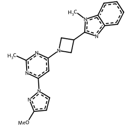 COc1ccn(-c2cc(N3CC(c4nc5ccccc5n4C)C3)nc(C)n2)n1